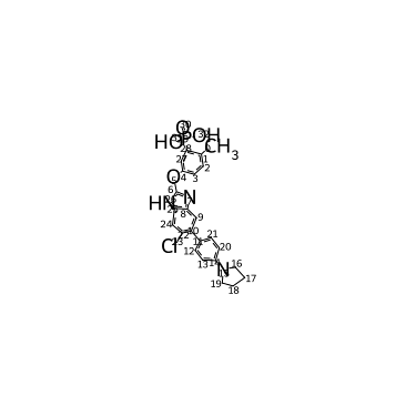 Cc1ccc(Oc2nc3cc(-c4ccc(N5CCCC5)cc4)c(Cl)cc3[nH]2)cc1P(=O)(O)O